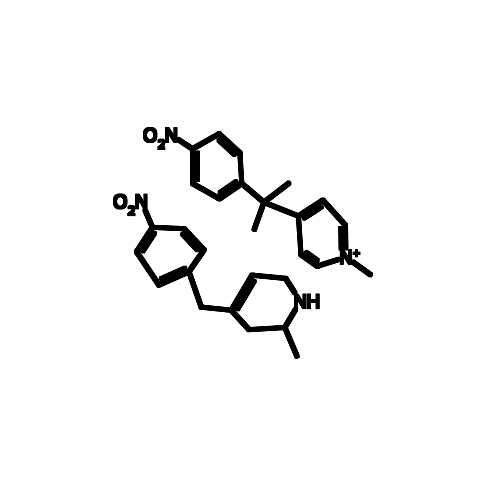 CC1CC(Cc2ccc([N+](=O)[O-])cc2)=CCN1.C[n+]1ccc(C(C)(C)c2ccc([N+](=O)[O-])cc2)cc1